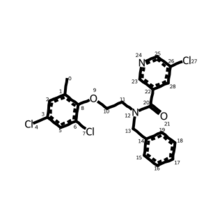 Cc1cc(Cl)cc(Cl)c1OCCN(Cc1ccccc1)C(=O)c1cncc(Cl)c1